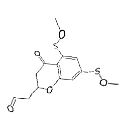 COSc1cc2c(c(SOC)c1)C(=O)CC(CC=O)O2